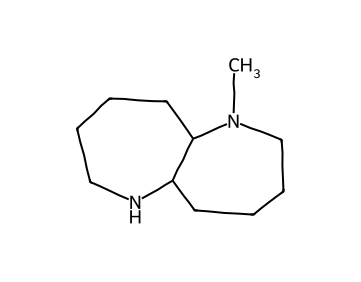 CN1CCCCC2NCCCCC21